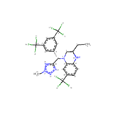 CCC1CN([C@@H](c2cc(C(F)(F)F)cc(C(F)(F)F)c2)c2nnn(C)n2)c2cc(C(F)(F)F)ccc2N1